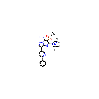 Nc1c(S(=O)(=O)C2CC2)c([C@@H]2C[C@H]3CC[C@@H](C2)N3)nc2c(-c3ccc(-c4ccccc4)nc3)cnn12